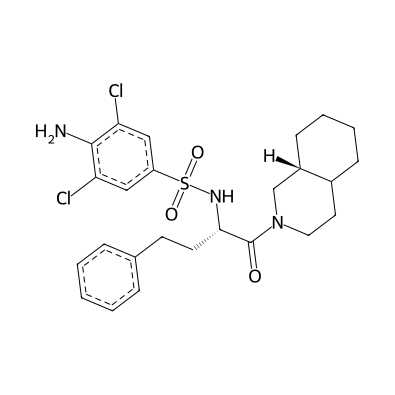 Nc1c(Cl)cc(S(=O)(=O)N[C@@H](CCc2ccccc2)C(=O)N2CCC3CCCC[C@H]3C2)cc1Cl